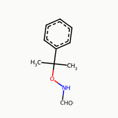 CC(C)(ON[C]=O)c1ccccc1